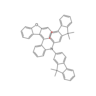 CC1(C)c2ccccc2-c2ccc(N(c3ccc4c(c3)C(C)(C)c3ccccc3-4)c3ccccc3-c3cccc4oc5ccccc5c34)cc21